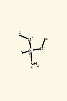 CO[Si](C)([SiH3])OC